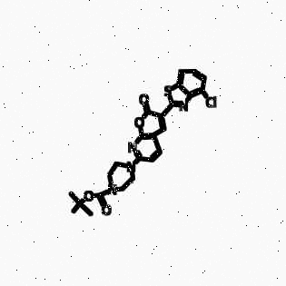 CC(C)(C)OC(=O)N1CCN(c2ccc3cc(-c4nc5c(Cl)cccc5s4)c(=O)oc3n2)CC1